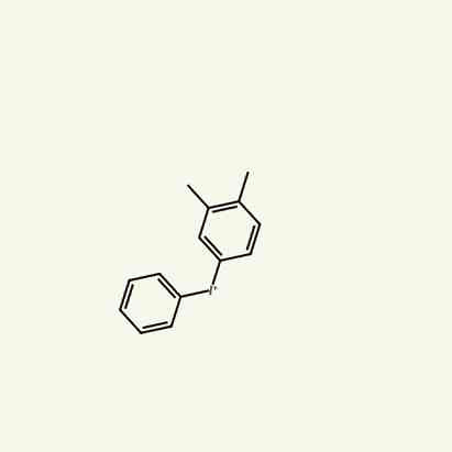 Cc1ccc([I+]c2ccccc2)cc1C